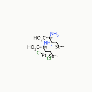 C[Se]CC[C@H](N)C(=O)O.C[Se]CC[C@H](N)C(=O)O.[Cl][Pt][Cl]